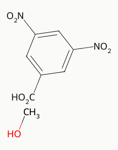 CO.O=C(O)c1cc([N+](=O)[O-])cc([N+](=O)[O-])c1